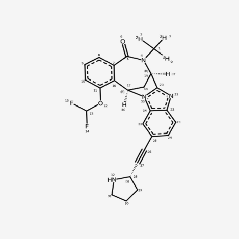 [2H]C([2H])([2H])N1C(=O)c2cccc(OC(F)F)c2[C@H]2C[C@@H]1c1nc3ccc(C#C[C@@H]4CCCN4)cc3n12